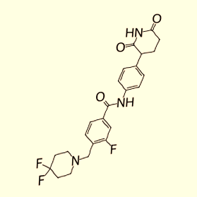 O=C1CCC(c2ccc(NC(=O)c3ccc(CN4CCC(F)(F)CC4)c(F)c3)cc2)C(=O)N1